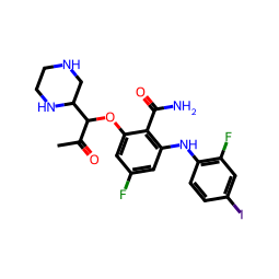 CC(=O)C(Oc1cc(F)cc(Nc2ccc(I)cc2F)c1C(N)=O)C1CNCCN1